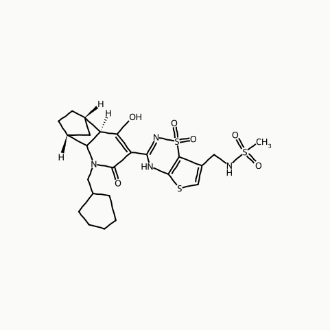 CS(=O)(=O)NCc1csc2c1S(=O)(=O)N=C(C1=C(O)[C@H]3C([C@@H]4CC[C@H]3C4)N(CC3CCCCC3)C1=O)N2